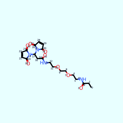 CCC(=O)NCCOCCOCCNC(=O)CC(N1C(=O)C=CC1=O)N1C(=O)C=CC1=O